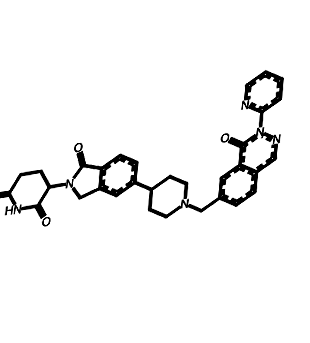 O=C1CCC(N2Cc3cc(C4CCN(Cc5ccc6cnn(-c7ccccn7)c(=O)c6c5)CC4)ccc3C2=O)C(=O)N1